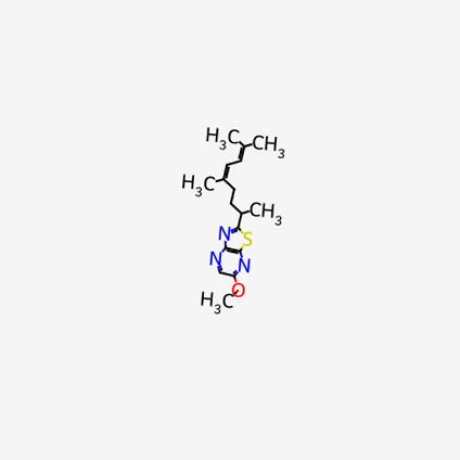 COc1cnc2nc(C(C)CC/C(C)=C\C=C(C)C)sc2n1